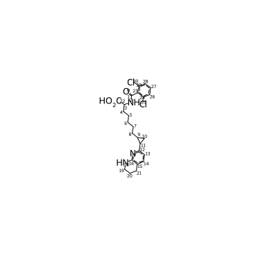 O=C(NC(CCCCCC1CC1c1ccc2c(n1)NCCC2)C(=O)O)c1c(Cl)cccc1Cl